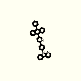 c1ccc(-c2c3ccccc3c(-c3ccc(-c4ccc(-n5c6ccccc6c6cccnc65)cc4)nc3)c3ccccc23)cc1